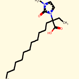 CCCCCCCCCCCCC(CC)(C(=O)O)n1ccn(C)c1=O